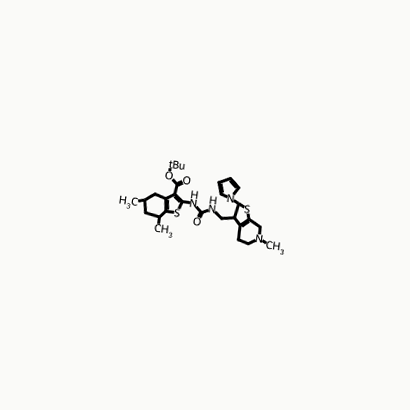 CC1Cc2c(sc(NC(=O)NCC3C4=C(CN(C)CC4)SC3n3cccc3)c2C(=O)OC(C)(C)C)C(C)C1